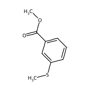 COC(=O)c1c[c]cc(SC)c1